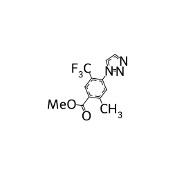 COC(=O)c1cc(C(F)(F)F)c(-n2ccnn2)cc1C